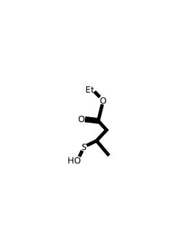 CCOC(=O)CC(C)SO